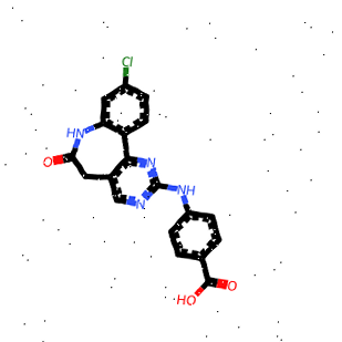 O=C1Cc2cnc(Nc3ccc(C(=O)O)cc3)nc2-c2ccc(Cl)cc2N1